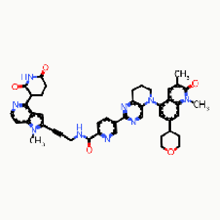 Cc1cc2c(N3CCCc4nc(-c5ccc(C(=O)NCC#Cc6cc7c(C8CCC(=O)NC8=O)nccc7n6C)nc5)ncc43)cc(C3CCOCC3)cc2n(C)c1=O